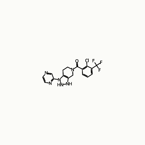 O=C(c1cccc(C(F)(F)F)c1Cl)N1CCC2=C(C1)NNN2c1cnccn1